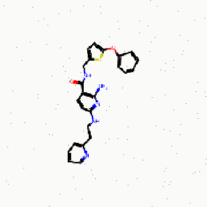 Nc1nc(NCCc2ccccn2)ccc1C(=O)NCc1ccc(Oc2ccccc2)s1